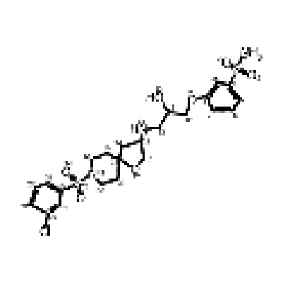 NS(=O)(=O)c1cccc(OCC(O)CNC2COC3(CCN(S(=O)(=O)c4cccc(Cl)c4)CC3)C2)c1